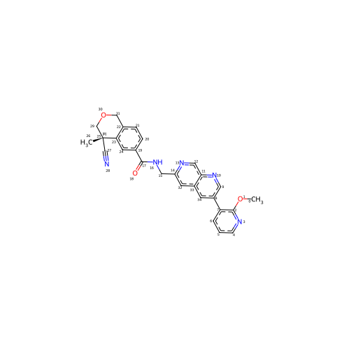 COc1ncccc1-c1cnc2cnc(CNC(=O)c3ccc4c(c3)[C@](C)(C#N)COC4)cc2c1